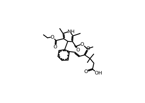 CCOC(=O)C1=C(C)NC(C)=C(C(=O)OCC)C1c1ccccc1/C=C/C(=O)C(C)(C)CC(=O)O